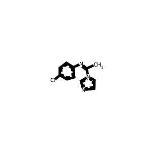 CC(=Nc1ccc(Cl)cc1)n1ccnc1